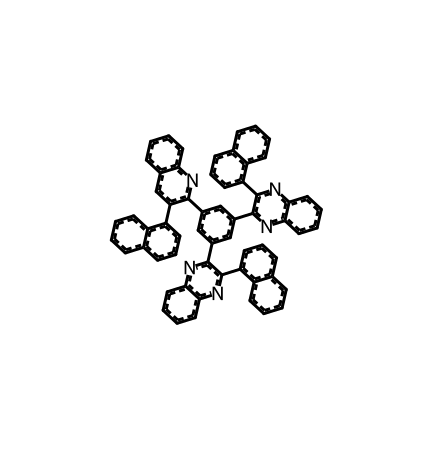 c1ccc2nc(-c3cc(-c4nc5ccccc5nc4-c4cccc5ccccc45)cc(-c4nc5ccccc5nc4-c4cccc5ccccc45)c3)c(-c3cccc4ccccc34)cc2c1